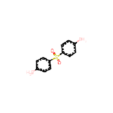 Bc1ccc(S(=O)(=O)c2ccc(B)cc2)cc1